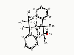 O=S(=O)(C(F)(c1ccccc1)C(F)(F)F)C(F)(c1ccccc1)C(F)(F)F